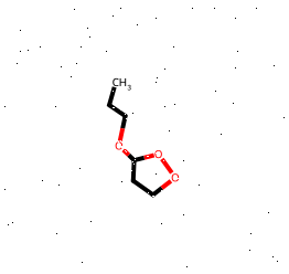 CCCO[C]1CCOO1